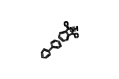 O=C1NC(=O)c2ccccc21.c1ccc(-c2ccccc2)cc1